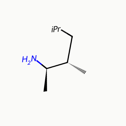 CC(C)C[C@H](C)[C@@H](C)N